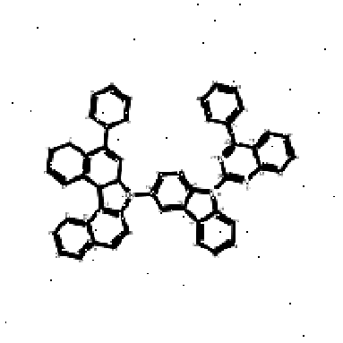 C1=CCC(C2=CC3C(C4=C2CCC=C4)c2c(ccc4ccccc24)N3c2ccc3c(c2)c2ccccc2n3-c2nc(-c3ccccc3)c3ccccc3n2)C=C1